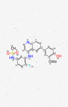 COc1cc(-c2ccc3nccc(Nc4cc(NS(C)(=O)=O)ccc4F)c3c2)ccc1O